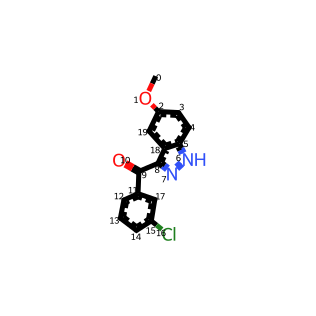 COc1ccc2[nH]nc(C(=O)c3cccc(Cl)c3)c2c1